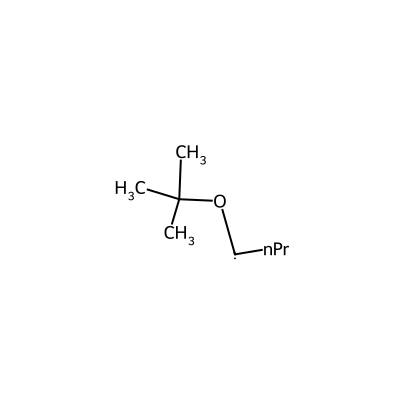 [CH2]CC[CH]OC(C)(C)C